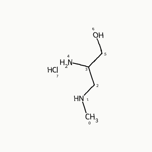 CNCC(N)CO.Cl